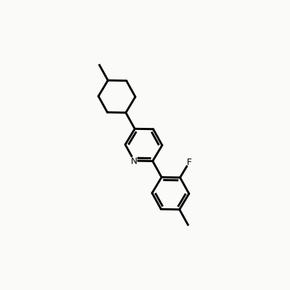 Cc1ccc(-c2ccc(C3CCC(C)CC3)cn2)c(F)c1